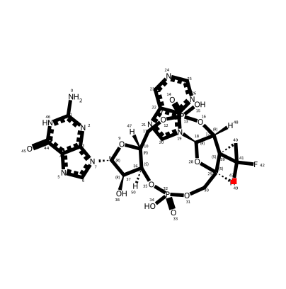 Nc1nc2c(ncn2[C@@H]2O[C@@H]3COP(=O)(O)O[C@H]4[C@H](n5cnc6cncnc65)O[C@H](COP(=O)(O)O[C@H]3[C@H]2O)[C@@]42CC2(F)F)c(=O)[nH]1